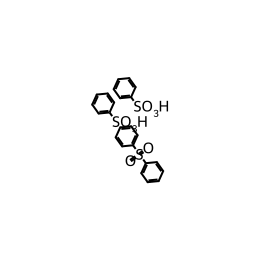 O=S(=O)(O)c1ccccc1.O=S(=O)(O)c1ccccc1.O=S(=O)(c1ccccc1)c1ccccc1